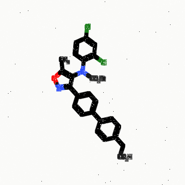 CCOC(=O)N(c1ccc(Cl)cc1Cl)c1c(-c2ccc(-c3ccc(CC(=O)O)cc3)cc2)noc1C